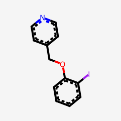 Ic1ccccc1OCc1ccncc1